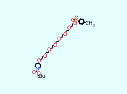 Cc1ccc(S(=O)(=O)OCCOCCOCCOCCOCCOCCOCCOC2CCN(C(=O)OC(C)(C)C)CC2)cc1